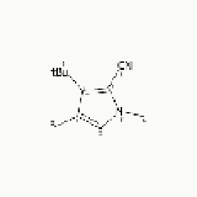 Cc1cn(C)c(C#N)c1C(C)(C)C